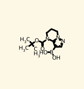 CC(C)(C)OC(=O)N1CCCn2ncc(B(O)O)c21